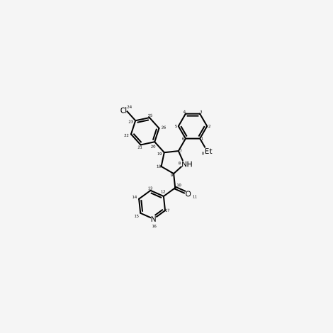 CCc1ccccc1C1NC(C(=O)c2cccnc2)CC1c1ccc(Cl)cc1